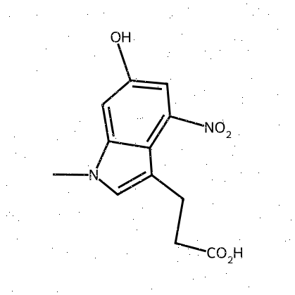 Cn1cc(CCC(=O)O)c2c([N+](=O)[O-])cc(O)cc21